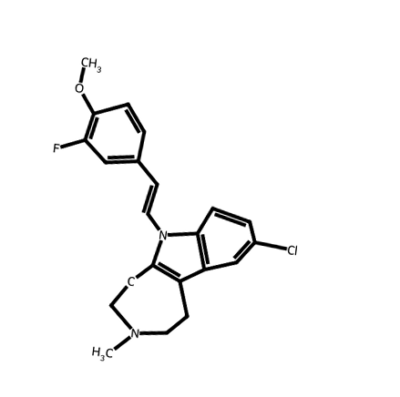 COc1ccc(/C=C/n2c3c(c4cc(Cl)ccc42)CCN(C)CC3)cc1F